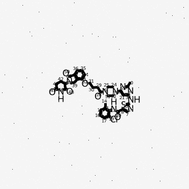 Cc1nc(Nc2ncc(C(=O)Nc3c(C)cccc3Cl)s2)cc(N2CCN(C(=O)CCCOc3cccc4c3CN(C3CCC(=O)NC3=O)C4=O)CC2)n1